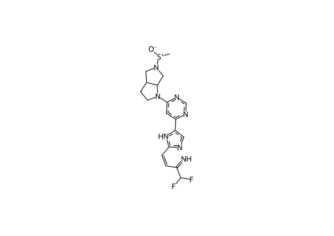 C[S+]([O-])N1CC2CCN(c3cc(-c4cnc(/C=C\C(=N)C(F)F)[nH]4)ncn3)C2C1